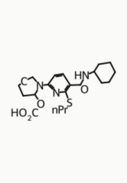 CCCSc1nc(N2CCCCC2OC(=O)O)ccc1C(=O)NC1CCCCC1